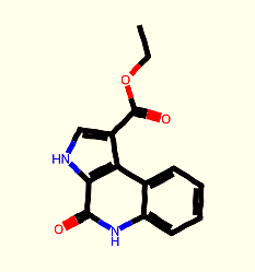 CCOC(=O)c1c[nH]c2c(=O)[nH]c3ccccc3c12